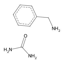 NC(N)=O.NCc1ccccc1